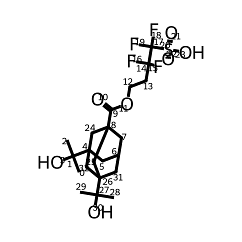 CC(C)(O)C12CC3CC(C(=O)OCCC(F)(F)C(F)(F)S(=O)(=O)O)(C1)CC(C(C)(C)O)(C3)C2